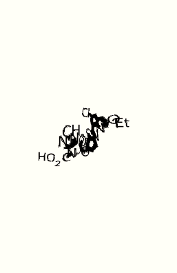 CCOc1cnc2c(-c3nc4ccc5c(c4s3)OC[C@@H](CN(C(=O)O)c3cnc(C)nc3)O5)cc(Cl)cc2c1